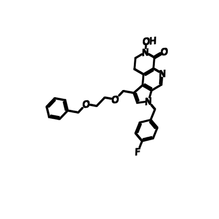 O=C1c2ncc3c(c(COCCOCc4ccccc4)cn3Cc3ccc(F)cc3)c2CCN1O